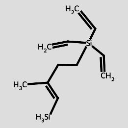 C=C[Si](C=C)(C=C)CCC(C)=C[SiH3]